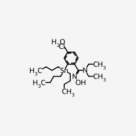 CCC[CH2][Sn]([CH2]CCC)([CH2]CCC)[c]1cc(Cl)ccc1C(=NO)N(CC)CC.O